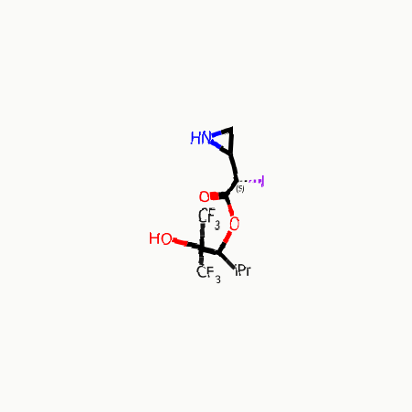 CC(C)C(OC(=O)[C@@H](I)C1CN1)C(O)(C(F)(F)F)C(F)(F)F